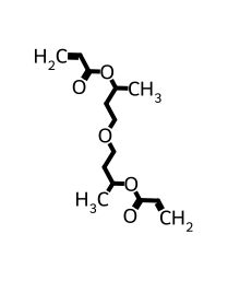 C=CC(=O)OC(C)CCOCCC(C)OC(=O)C=C